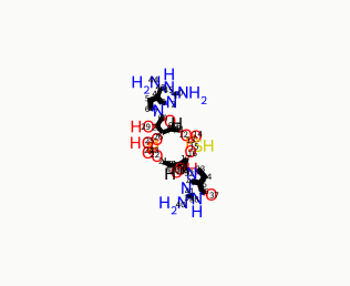 NC1=Nc2c(ccn2[C@@H]2O[C@@H]3COP(=O)(S)OC4C(O)[C@@H](COP(=O)(O)OC3C2O)O[C@H]4n2ccc3c(=O)[nH]c(N)nc32)C(N)N1